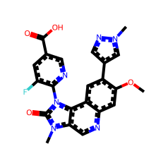 COc1cc2ncc3c(c2cc1-c1cnn(C)c1)n(-c1ncc(C(=O)O)cc1F)c(=O)n3C